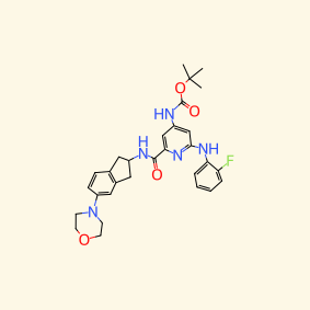 CC(C)(C)OC(=O)Nc1cc(Nc2ccccc2F)nc(C(=O)NC2Cc3ccc(N4CCOCC4)cc3C2)c1